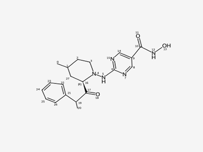 CC1CCN(Nc2ncc(C(=O)NO)cn2)[C@@H](C(=O)C(C)c2ccccc2)C1